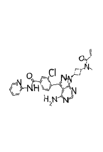 C=CC(=O)N(C)[C@H]1C[C@@H](n2nc(-c3ccc(C(=O)Nc4ccccn4)cc3Cl)c3c(N)ncnc32)C1